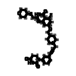 O=C1CCN(c2cccc(C#CCN3CCC(COc4cc(F)c5c(=O)[nH]c(CSC6CCOCC6)nc5c4)CC3)c2)C(=O)N1